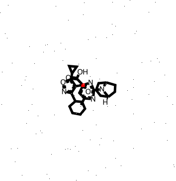 Cc1cc(C(=O)O)nc(N2C3CC[C@H]2C[C@H](OCc2c(C4CCCCC4)noc2C2CC2)C3)n1